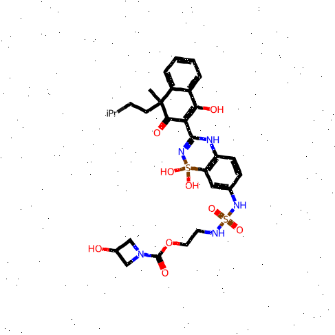 CC(C)CCC1(C)C(=O)C(C2=NS(O)(O)c3cc(NS(=O)(=O)NCCOC(=O)N4CC(O)C4)ccc3N2)=C(O)c2ccccc21